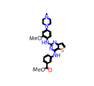 COC(=O)c1cccc(Nc2nc(Nc3ccc(N4CCN(C)CC4)cc3OC)nc3ccsc23)c1